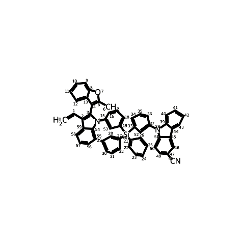 C=Cc1c(-c2c(C)oc3ccccc23)n(-c2cccc([Si](c3ccccc3)(c3ccccc3)c3cccc(-n4c5ccccc5c5cc(C#N)ccc54)c3)c2)c2ccccc12